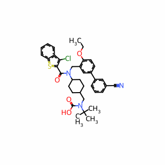 CCOc1ccc(-c2cccc(C#N)c2)cc1CN(C(=O)c1sc2ccccc2c1Cl)C1CCC(CN(C(=O)O)C(C)(C)C)CC1